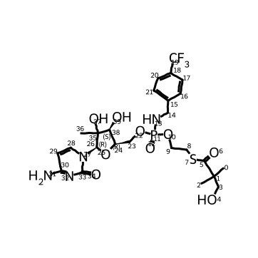 CC(C)(CO)C(=O)SCCOP(=O)(NCc1ccc(C(F)(F)F)cc1)OC[C@H]1O[C@@H](n2ccc(N)nc2=O)C(C)(O)[C@H]1O